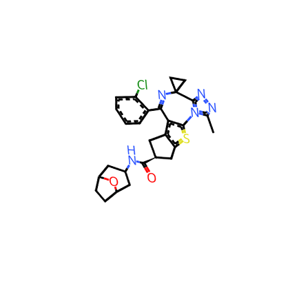 Cc1nnc2n1-c1sc3c(c1C(c1ccccc1Cl)=NC21CC1)C[C@H](C(=O)NC1CC2CCC(C1)O2)C3